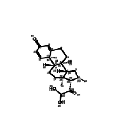 C[C@H]1C[C@H]2[C@@H]3CCC4=CC(=O)C=C[C@]4(C)[C@H]3CC[C@]2(C)[C@H]1C(=O)C(O)O